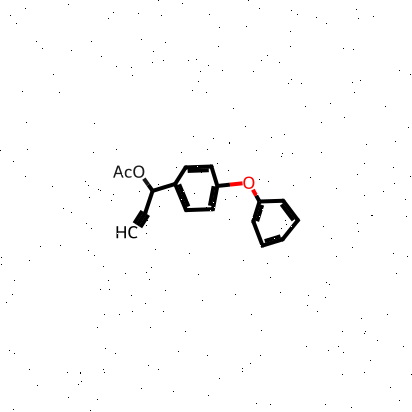 C#CC(OC(C)=O)c1ccc(Oc2ccccc2)cc1